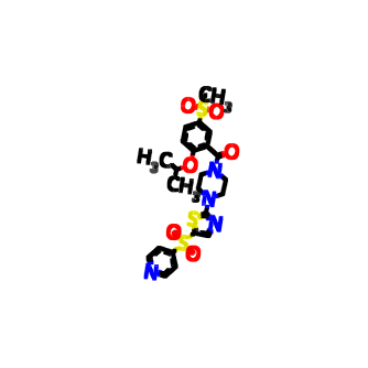 CC(C)Oc1ccc(S(C)(=O)=O)cc1C(=O)N1CCN(c2ncc(S(=O)(=O)c3ccncc3)s2)CC1